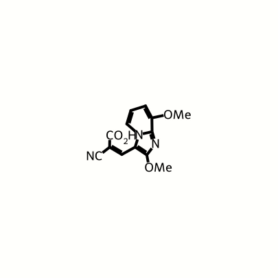 COc1nc2c(OC)cccn2c1C=C(C#N)C(=O)O